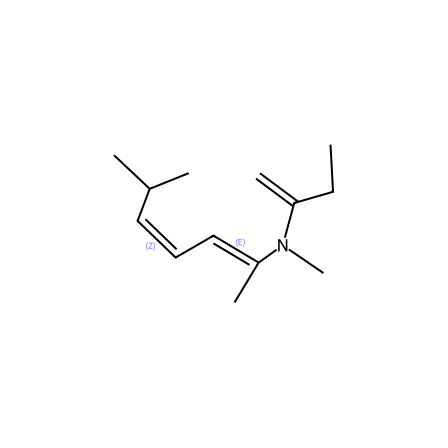 C=C(CC)N(C)/C(C)=C/C=C\C(C)C